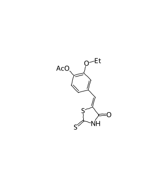 CCOc1cc(/C=C2\SC(=S)NC2=O)ccc1OC(C)=O